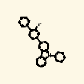 Brc1cc(-c2ccc3c(c2)c2ccccc2n3-c2ccccc2)ccc1-c1ccccc1